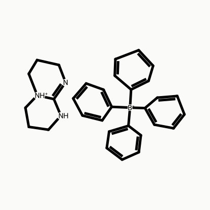 C1CN=C2NCCC[NH+]2C1.c1ccc([B-](c2ccccc2)(c2ccccc2)c2ccccc2)cc1